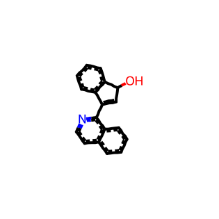 OC1C=C(c2nccc3ccccc23)c2ccccc21